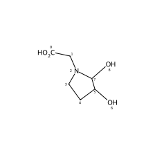 O=C(O)CN1CCC(O)C1O